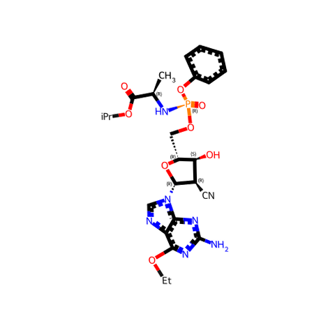 CCOc1nc(N)nc2c1ncn2[C@@H]1O[C@H](CO[P@](=O)(N[C@H](C)C(=O)OC(C)C)Oc2ccccc2)[C@@H](O)[C@H]1C#N